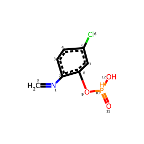 C=Nc1ccc(Cl)cc1O[PH](=O)O